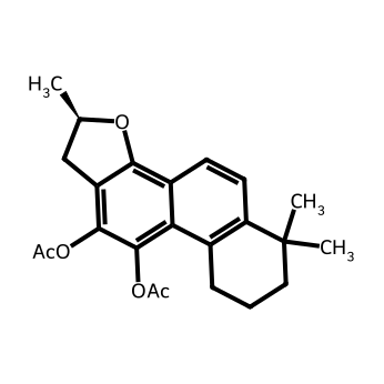 CC(=O)Oc1c2c(c3ccc4c(c3c1OC(C)=O)CCCC4(C)C)O[C@H](C)C2